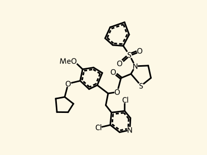 COc1ccc(C(Cc2c(Cl)cncc2Cl)OC(=O)C2SCCN2S(=O)(=O)c2ccccc2)cc1OC1CCCC1